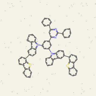 c1ccc(-c2cc(-c3cc(-n4c5ccccc5c5cc(-c6cccc7c6sc6ccccc67)ccc54)cc(-n4c5ccccc5c5cc(-c6cccc7c6sc6ccccc67)ccc54)c3)nc(-c3ccccc3)n2)cc1